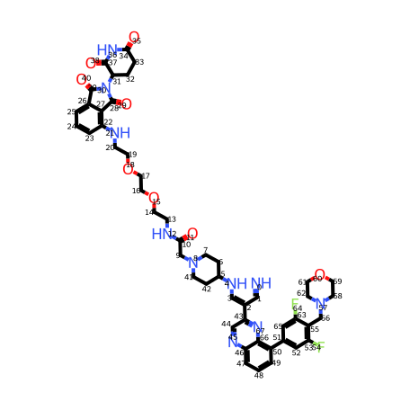 N=C/C(=C\NC1CCN(CC(=O)NCCOCCOCCNc2cccc3c2C(=O)N(C2CCC(=O)NC2=O)C3=O)CC1)c1cnc2cccc(-c3cc(F)c(CN4CCOCC4)c(F)c3)c2n1